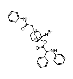 O=C(C[N+]12CCC(CC1)[C@@H](OC(=O)C(Nc1ccccc1)c1ccccc1)C2)Nc1ccccc1.[Br-]